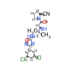 CC(C)(CNc1nc(-c2cc(Cl)cc(Cl)c2)no1)NCC(=O)N1CCC[C@H]1C#N